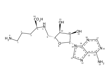 NCCC[C@H](NC[C@H]1O[C@@H](n2cnc3c(N)ncnc32)[C@H](O)[C@@H]1O)C(=O)O